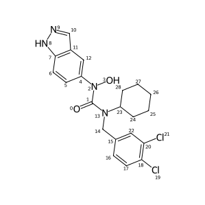 O=C(N(O)c1ccc2[nH]ncc2c1)N(Cc1ccc(Cl)c(Cl)c1)C1CCCCC1